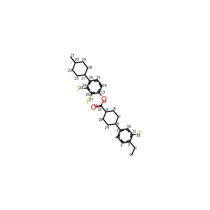 CCc1ccc(C2CCC(C(=O)Oc3ccc(C4CCC(C)CC4)c(F)c3F)CC2)cc1F